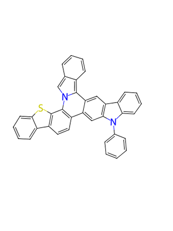 c1ccc(-n2c3ccccc3c3cc4c(cc32)c2ccc3c5ccccc5sc3c2n2cc3ccccc3c42)cc1